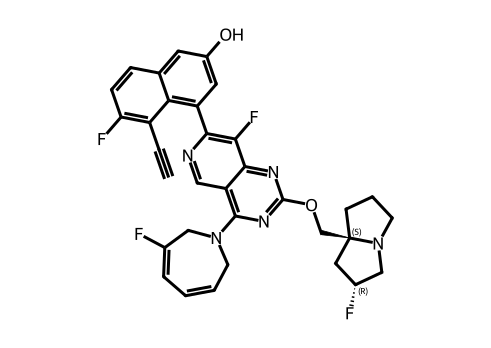 C#Cc1c(F)ccc2cc(O)cc(-c3ncc4c(N5CC=CC=C(F)C5)nc(OC[C@@]56CCCN5C[C@H](F)C6)nc4c3F)c12